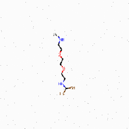 CC(C)NCCOCCOCCNC(S)S